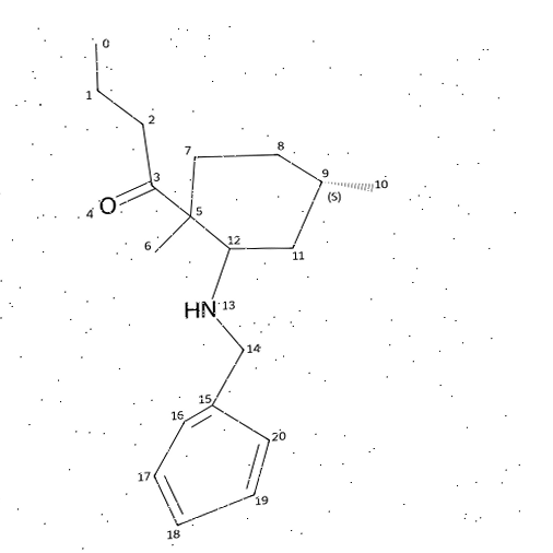 CCCC(=O)C1(C)CC[C@H](C)CC1NCc1ccccc1